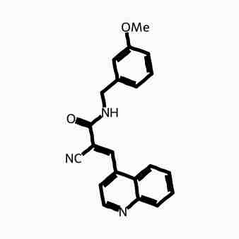 COc1cccc(CNC(=O)/C(C#N)=C/c2ccnc3ccccc23)c1